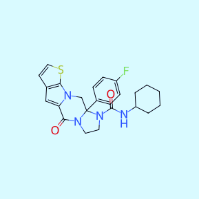 O=C(NC1CCCCC1)N1CCN2C(=O)c3cc4ccsc4n3CC12c1ccc(F)cc1